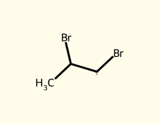 CC(Br)[CH]Br